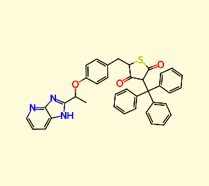 CC(Oc1ccc(CC2SC(=O)C(C(c3ccccc3)(c3ccccc3)c3ccccc3)C2=O)cc1)c1nc2ncccc2[nH]1